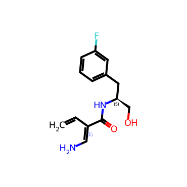 C=C/C(=C\N)C(=O)N[C@H](CO)Cc1cccc(F)c1